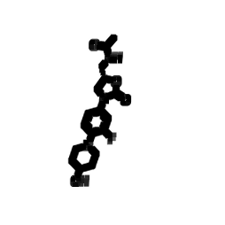 CC(=O)NC[C@H]1CN(c2ccc(N3CCC(O)CC3)c(F)c2)C(=O)O1